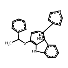 CC(SC1=C2Nc3ccccc3C23NCN(c2ccncc2)C3C=C1)c1ccccc1